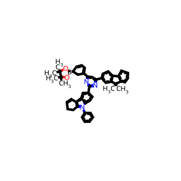 CC1(C)c2ccccc2-c2ccc(-c3cc(C4=CC=CC(B5OC(C)(C)C(C)(C)O5)C4)nc(-c4ccc5c(c4)c4c(n5-c5ccccc5)CCC=C4)n3)cc21